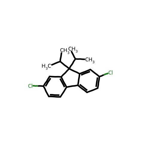 CC(C)C1(C(C)C)c2cc(Cl)ccc2-c2ccc(Cl)cc21